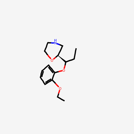 CCOc1ccccc1OC(CC)[C@@H]1CNCCO1